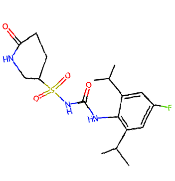 CC(C)c1cc(F)cc(C(C)C)c1NC(=O)NS(=O)(=O)C1CCC(=O)NC1